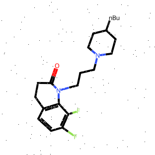 CCCCC1CCN(CCCN2C(=O)CCc3ccc(F)c(F)c32)CC1